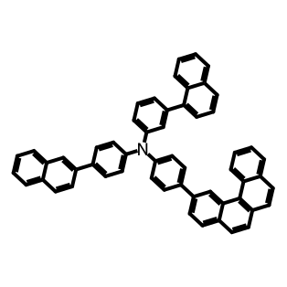 c1cc(-c2cccc3ccccc23)cc(N(c2ccc(-c3ccc4ccccc4c3)cc2)c2ccc(-c3ccc4ccc5ccc6ccccc6c5c4c3)cc2)c1